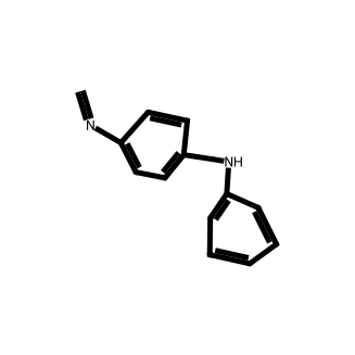 [CH]=Nc1ccc(Nc2ccccc2)cc1